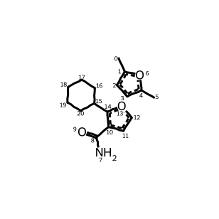 Cc1ccc(C)o1.NC(=O)c1ccoc1C1CCCCC1